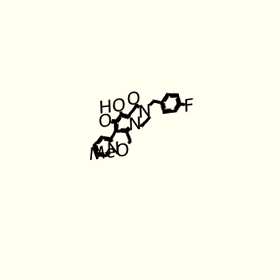 COCc1c(-c2ccccn2)c(=O)c(O)c2n1CCN(Cc1ccc(F)cc1)C2=O